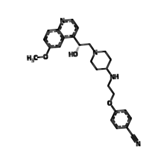 COc1ccc2nccc([C@@H](O)CN3CCC(NCCOc4ccc(C#N)cc4)CC3)c2c1